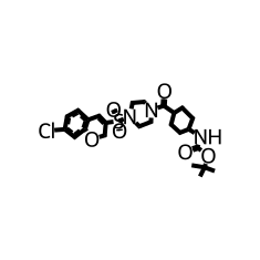 CC(C)(C)OC(=O)NC1CCC(C(=O)N2CCN(S(=O)(=O)C3=Cc4ccc(Cl)cc4OC3)CC2)CC1